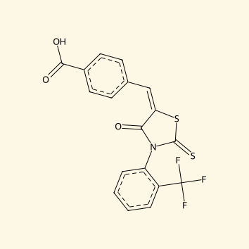 O=C(O)c1ccc(C=C2SC(=S)N(c3ccccc3C(F)(F)F)C2=O)cc1